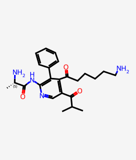 CC(C)C(=O)c1cnc(NC(=O)[C@H](C)N)c(-c2ccccc2)c1C(=O)CCCCCN